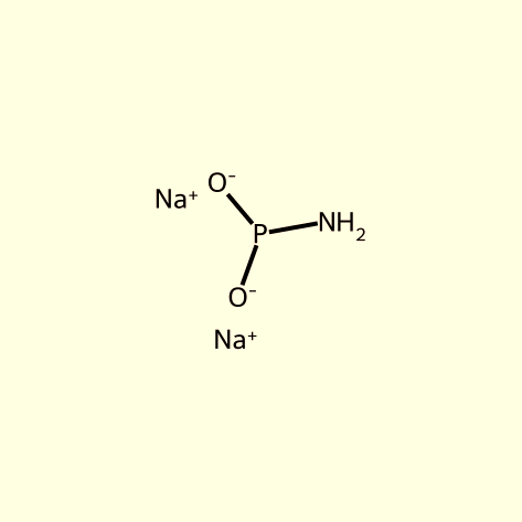 NP([O-])[O-].[Na+].[Na+]